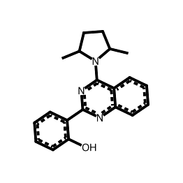 CC1CCC(C)N1c1nc(-c2ccccc2O)nc2ccccc12